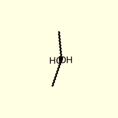 CCCCCCCCCCCCCCCCCCP(C)(O)(O)CCCCCCCCCCCCCCCCCC